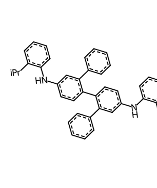 CC(C)c1ccccc1Nc1ccc(-c2ccc(Nc3ccccc3C(C)C)cc2-c2ccccc2)c(-c2ccccc2)c1